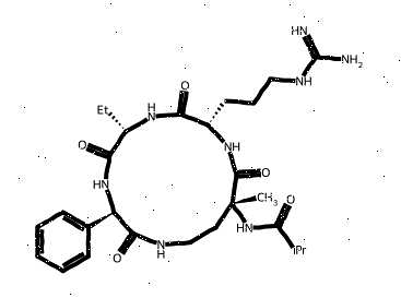 CC[C@@H]1NC(=O)[C@H](CCCNC(=N)N)NC(=O)[C@](C)(NC(=O)C(C)C)CCNC(=O)[C@@H](c2ccccc2)NC1=O